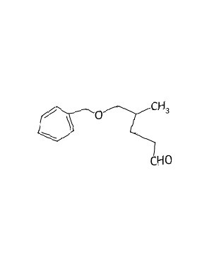 CC(CCC=O)COCc1ccccc1